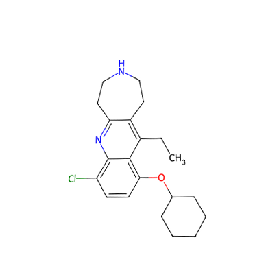 CCc1c2c(nc3c(Cl)ccc(OC4CCCCC4)c13)CCNCC2